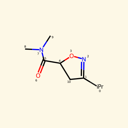 CC(C)C1=NOC(C(=O)N(C)C)C1